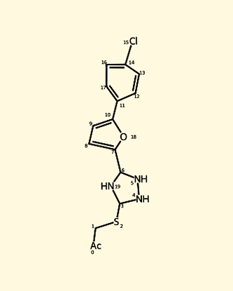 CC(=O)CSC1NNC(c2ccc(-c3ccc(Cl)cc3)o2)N1